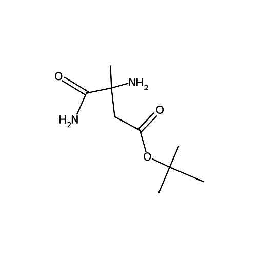 CC(C)(C)OC(=O)CC(C)(N)C(N)=O